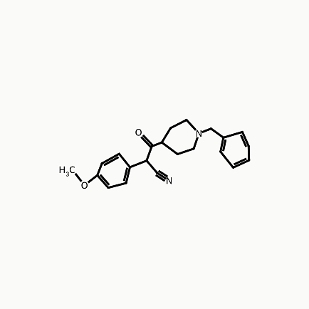 COc1ccc(C(C#N)C(=O)C2CCN(Cc3ccccc3)CC2)cc1